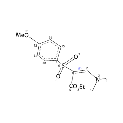 CCOC(=O)/C(=C\N(C)C)S(=O)(=O)c1ccc(OC)cc1